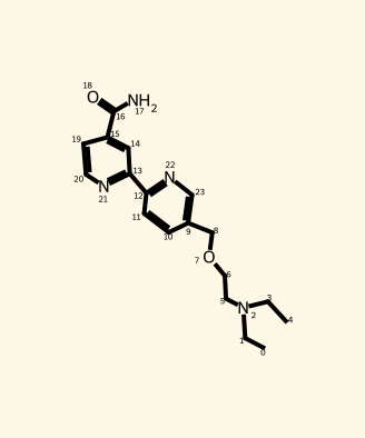 CCN(CC)CCOCc1ccc(-c2cc(C(N)=O)ccn2)nc1